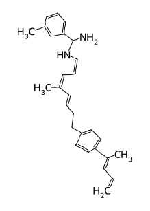 C=C/C=C(\C)c1ccc(CC/C=C/C(C)=C\C=C/NC(N)c2cccc(C)c2)cc1